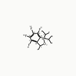 CC1O[Si](C(C)C)(C(C)C)c2c(F)c(F)c(F)c(F)c21